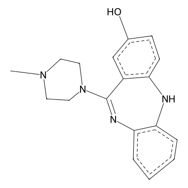 CN1CCN(C2=Nc3ccccc3Nc3ccc(O)cc32)CC1